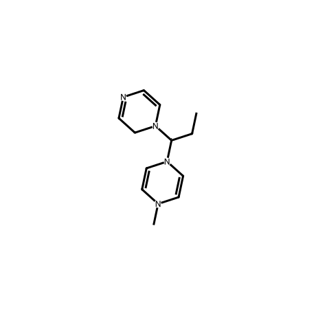 CC[C](N1C=CN(C)C=C1)N1C=CN=CC1